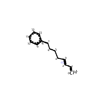 [CH]=C/C=C/CCCCc1ccccc1